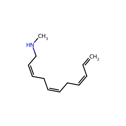 C=C/C=C\C/C=C\C/C=C\CNC